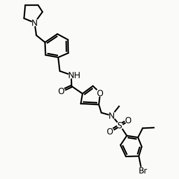 CCc1cc(Br)ccc1S(=O)(=O)N(C)Cc1cc(C(=O)NCc2cccc(CN3CCCC3)c2)co1